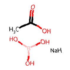 CC(=O)O.OB(O)O.[NaH]